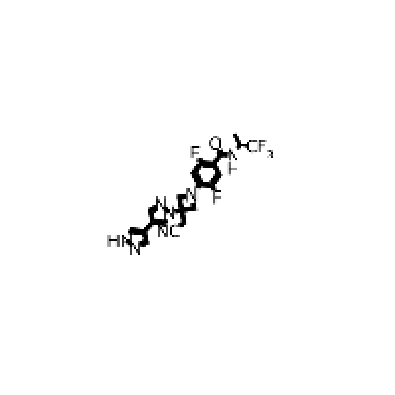 C[C@H](NC(=O)c1cc(F)c(N2CC(CC#N)(n3cc(-c4cn[nH]c4)cn3)C2)cc1F)C(F)(F)F